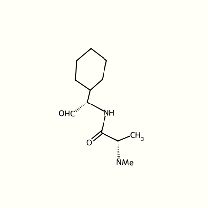 CN[C@@H](C)C(=O)N[C@H](C=O)C1CCCCC1